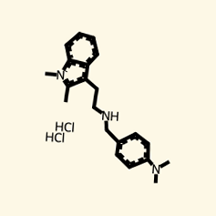 Cc1c(CCNCc2ccc(N(C)C)cc2)c2ccccc2n1C.Cl.Cl